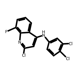 Fc1cccc2c(Nc3ccc(Cl)c(Cl)c3)cc(Cl)nc12